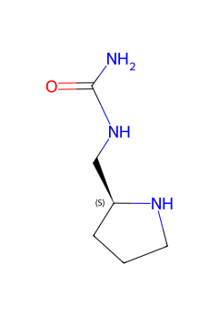 NC(=O)NC[C@@H]1CCCN1